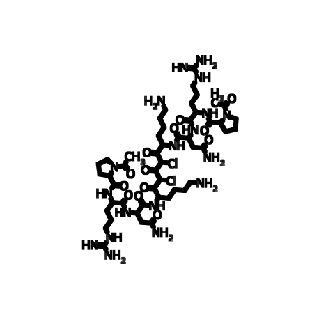 CC(=O)N1CCCC1C(=O)NC(CCCNC(=N)N)C(=O)NC(CC(N)=O)C(=O)NC(CCCCN)C(=O)C(Cl)C(=O)C(Cl)C(=O)C(CCCCN)NC(=O)C(CC(N)=O)NC(=O)C(CCCNC(=N)N)NC(=O)C1CCCN1C(C)=O